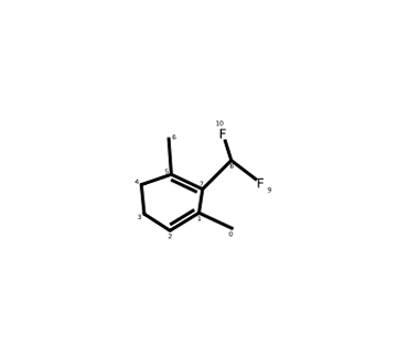 CC1=CC[CH]C(C)=C1C(F)F